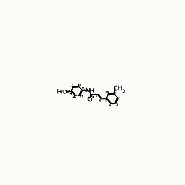 Cc1cccc(C=CC(=O)Nc2ccc(O)cc2)c1